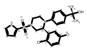 C[C@@](O)(c1ccc(N2CCN(S(=O)(=O)c3cccs3)C[C@@H]2c2cc(Cl)ccc2Cl)cc1)C(F)(F)F